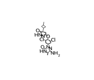 C=C1NC(=O)N(c2cc(Cl)c(Oc3cc(C4CC(C)C4)c(=O)[nH]n3)c(Cl)c2)N=C1N